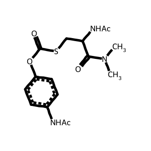 CC(=O)Nc1ccc(OC(=O)SCC(NC(C)=O)C(=O)N(C)C)cc1